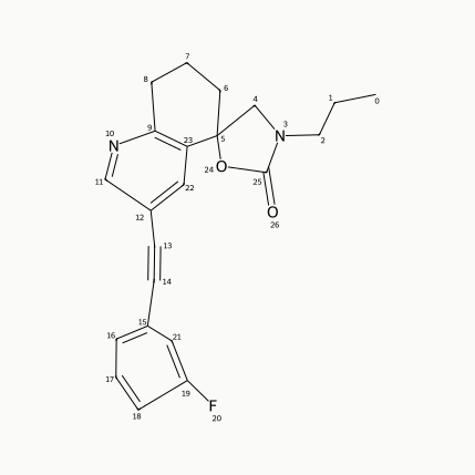 CCCN1CC2(CCCc3ncc(C#Cc4cccc(F)c4)cc32)OC1=O